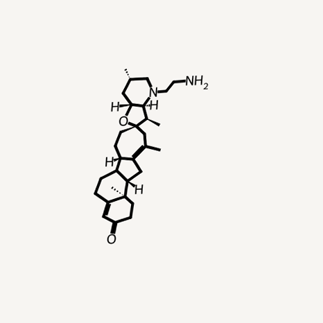 CC1=C2C[C@H]3C(CCC4=CC(=O)CC[C@@]43C)[C@@H]2CC[C@@]2(C1)O[C@@H]1C[C@H](C)CN(CCN)[C@H]1[C@H]2C